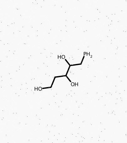 OCCC(O)C(O)CP